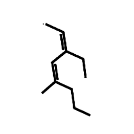 [CH2]C=C(C=C(C)CCC)CC